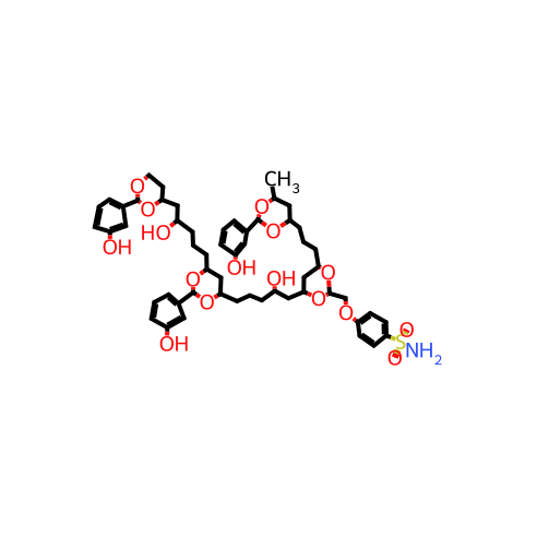 CC1CC(CCCC2CC(CC(O)CCCC3CC(CCCC(O)CC4CCOC(c5cccc(O)c5)O4)OC(c4cccc(O)c4)O3)OC(COc3ccc(S(N)(=O)=O)cc3)O2)OC(c2cccc(O)c2)O1